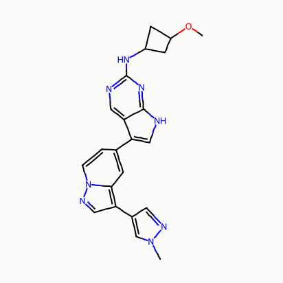 COC1CC(Nc2ncc3c(-c4ccn5ncc(-c6cnn(C)c6)c5c4)c[nH]c3n2)C1